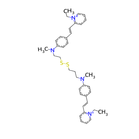 CC[n+]1ccccc1/C=C/c1ccc(N(C)CCCSSCCN(C)c2ccc(/C=C/c3cccc[n+]3CC)cc2)cc1